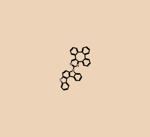 c1ccc2c(c1)-c1ccccc1-c1cnc(-n3c4ccccc4c4c5c(ccc43)sc3ccccc35)nc1-c1ccccc1-2